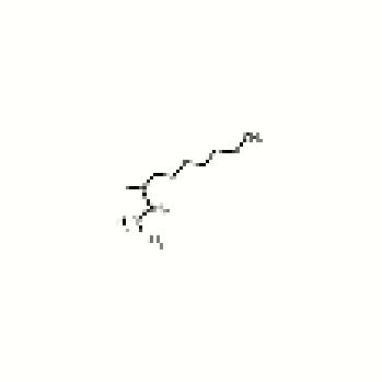 CCCCCCCC(F)[SiH2][SiH2][SiH3]